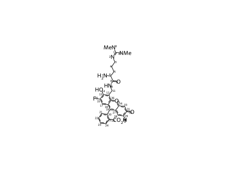 CNC(=NCCCC(N)C(=O)NCc1c(O)c(F)cc2c(-c3ccccc3C(=O)O)c3cc(F)c(=O)cc-3oc12)NC